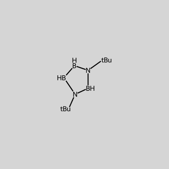 CC(C)(C)N1BBN(C(C)(C)C)B1